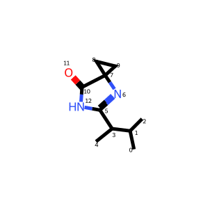 CC(C)C(C)C1=NC2(CC2)C(=O)N1